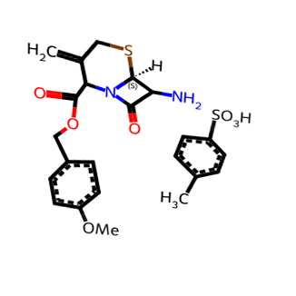 C=C1CS[C@H]2C(N)C(=O)N2C1C(=O)OCc1ccc(OC)cc1.Cc1ccc(S(=O)(=O)O)cc1